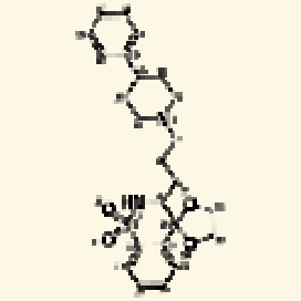 O=S1(=O)NC(CCCN2CCC(c3ccccc3)CC2)C2(OCCO2)c2ccccc21